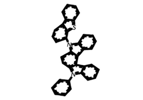 c1ccc(-n2c3ccccc3c3c4c5ccccc5n(-c5cccc6c5sc5ccccc56)c4ccc32)cc1